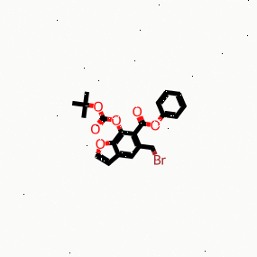 CC(C)(C)OC(=O)Oc1c(C(=O)Oc2ccccc2)c(CBr)cc2ccoc12